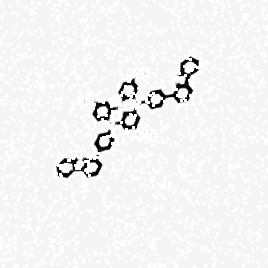 Cc1cc2c3c(c1)N(c1ccc(-c4cccc5c4sc4ccccc45)cc1)c1cc(C(C)(C)C)ccc1B3c1cc(C(C)(C)C)ccc1N2c1ccc(-c2cccc3c2sc2ccccc23)cc1